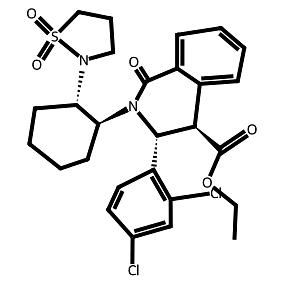 CCOC(=O)[C@@H]1c2ccccc2C(=O)N([C@H]2CCCC[C@@H]2N2CCCS2(=O)=O)[C@H]1c1ccc(Cl)cc1Cl